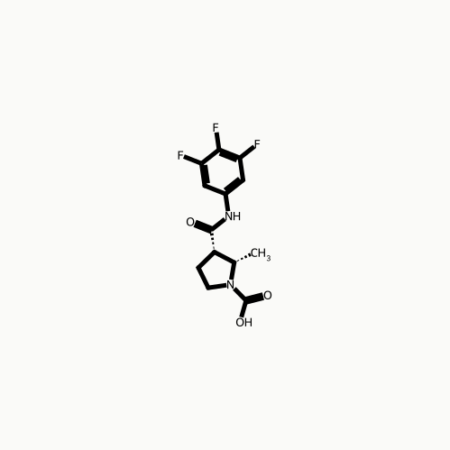 C[C@H]1[C@@H](C(=O)Nc2cc(F)c(F)c(F)c2)CCN1C(=O)O